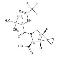 CC(C)(C)[C@H](NC(=O)C(F)(F)F)C(=O)N1C[C@H]2[C@@H]([C@H]1C(=O)O)C21CC1